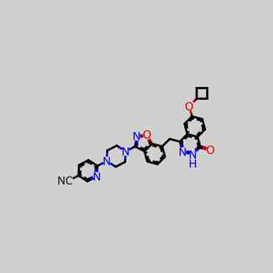 N#Cc1ccc(N2CCN(c3noc4c(Cc5n[nH]c(=O)c6ccc(OC7CCC7)cc56)cccc34)CC2)nc1